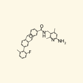 Cc1cc(N)nc(C)c1CNC(=O)c1ccc2c(c1)C1OC2c2ccc(-c3c(C)cccc3F)cc21